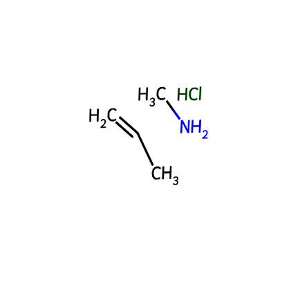 C=CC.CN.Cl